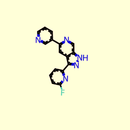 Fc1cccc(-c2n[nH]c3cnc(-c4cccnc4)cc23)n1